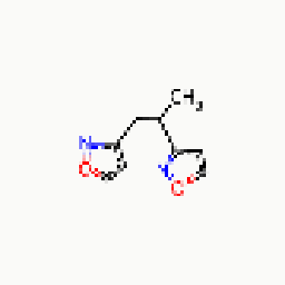 C[C](Cc1ccon1)c1ccon1